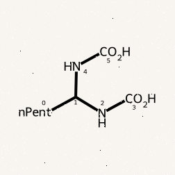 CCCCCC(NC(=O)O)NC(=O)O